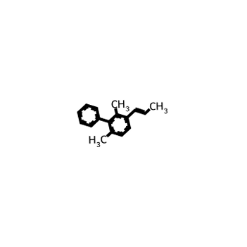 CC=Cc1ccc(C)c(-c2ccccc2)c1C